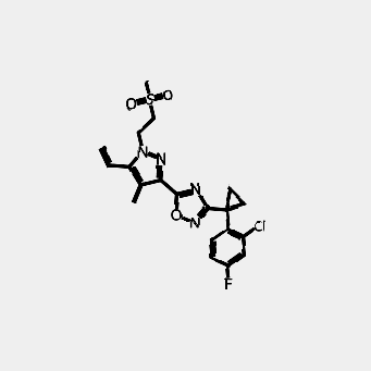 C=Cc1c(C)c(-c2nc(C3(c4ccc(F)cc4Cl)CC3)no2)nn1CCS(C)(=O)=O